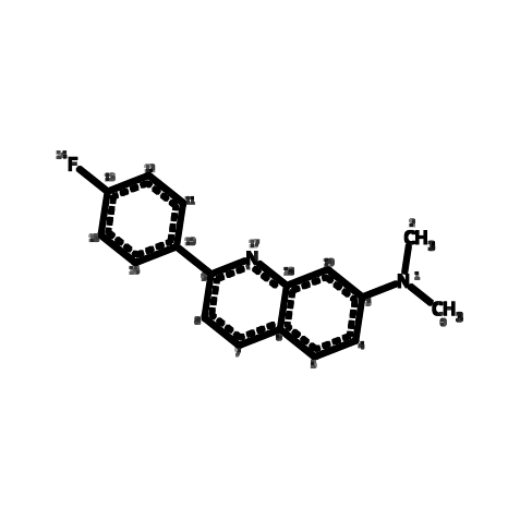 CN(C)c1ccc2ccc(-c3ccc(F)cc3)nc2c1